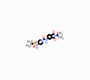 CC(C)N1C(=O)c2ccc(NC(=O)N3CCC(NS(=O)(=O)C(C)C)CC3)cc2C1=O